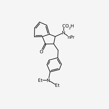 CCCN(C(=O)O)C1c2ccccc2C(=O)C1Cc1ccc(N(CC)CC)cc1